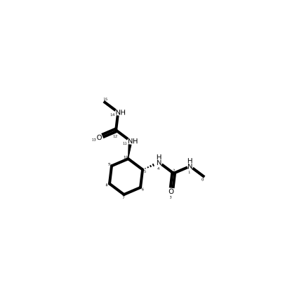 CNC(=O)N[C@@H]1CCCC[C@H]1NC(=O)NC